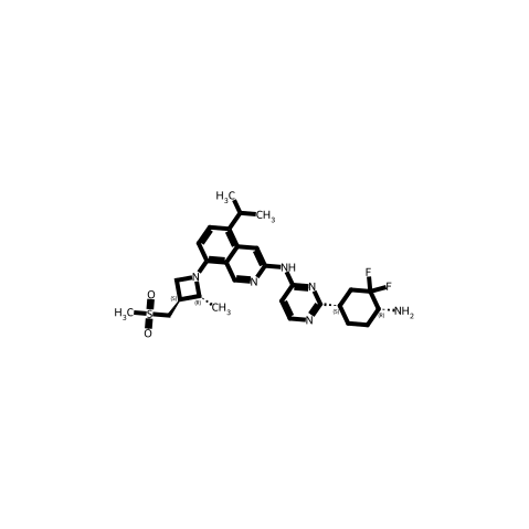 CC(C)c1ccc(N2C[C@H](CS(C)(=O)=O)[C@H]2C)c2cnc(Nc3ccnc([C@H]4CC[C@@H](N)C(F)(F)C4)n3)cc12